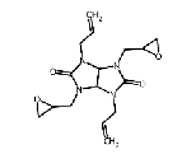 C=CCN1C(=O)N(CC2CO2)C2C1N(CC1CO1)C(=O)N2CC=C